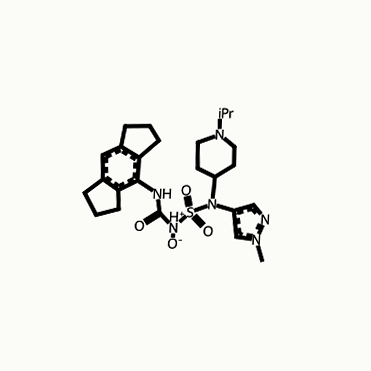 CC(C)N1CCC(N(c2cnn(C)c2)S(=O)(=O)[NH+]([O-])C(=O)Nc2c3c(cc4c2CCC4)CCC3)CC1